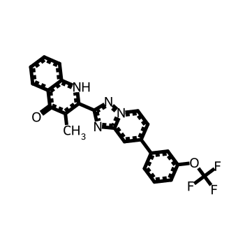 Cc1c(-c2nc3cc(-c4cccc(OC(F)(F)F)c4)ccn3n2)[nH]c2ccccc2c1=O